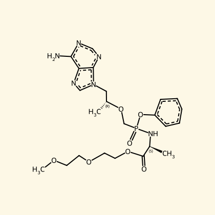 COCCOCCOC(=O)[C@H](C)NP(=O)(CO[C@H](C)Cn1cnc2c(N)ncnc21)Oc1ccccc1